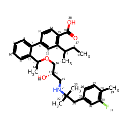 CCC(C)c1cc(-c2ccccc2C(C)OC[C@@H](O)CNC(C)(C)Cc2ccc(C)c(F)c2)ccc1C(=O)O